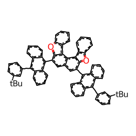 CC(C)(C)c1cccc(-c2c3ccccc3c(-c3cc4cc(-c5c6ccccc6c(-c6cccc(C(C)(C)C)c6)c6ccccc56)c5oc6ccccc6c5c4c4c3oc3ccccc34)c3ccccc23)c1